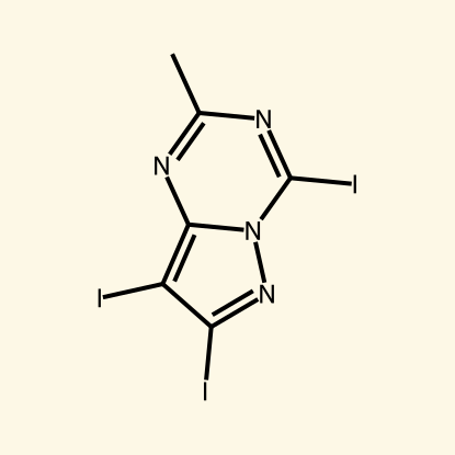 Cc1nc(I)n2nc(I)c(I)c2n1